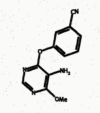 COc1ncnc(Oc2cccc(C#N)c2)c1N